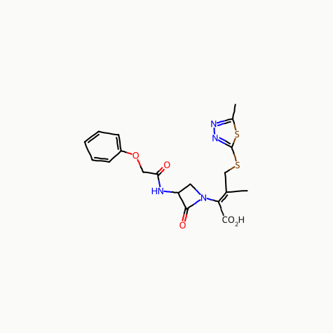 CC(CSc1nnc(C)s1)=C(C(=O)O)N1CC(NC(=O)COc2ccccc2)C1=O